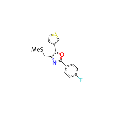 CSCc1nc(-c2ccc(F)cc2)oc1-c1ccsc1